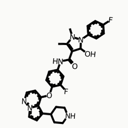 CC1=C(C(=O)Nc2ccc(Oc3ccnn4ccc(C5CCNCC5)c34)c(F)c2)C(O)N(c2ccc(F)cc2)N1C